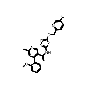 C=C(Nc1nnc(OCc2ccc(Cl)cn2)s1)c1cnc(C)cc1-c1ccccc1OC